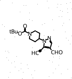 C#Cc1c(C=O)cnn1C1CCN(C(=O)OC(C)(C)C)CC1